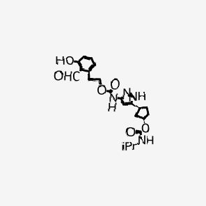 CC(C)NC(=O)O[C@@H]1CC[C@H](c2cc(NC(=O)OCCc3cccc(O)c3C=O)n[nH]2)C1